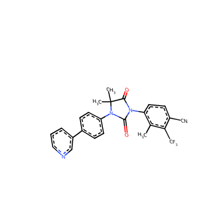 Cc1c(N2C(=O)N(c3ccc(-c4cccnc4)cc3)C(C)(C)C2=O)ccc(C#N)c1C(F)(F)F